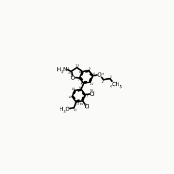 CCCOc1cc2c(c(-c3ccc(CC)c(Cl)c3Cl)c1)OC(N)C2